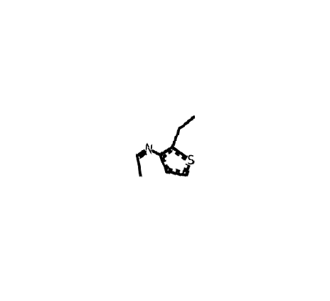 C/C=N\c1ccsc1CC